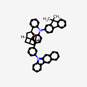 CC1(C)c2ccccc2-c2ccc(N(c3ccc(-c4cccc(-n5c6ccccc6c6cc7ccccc7cc65)c4)cc3)c3ccccc3C34C[C@@H]5CC6C[C@@H](C3)C65C4)cc21